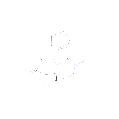 CCN1CC[C@@H]2[C@H](C)C(=O)C(C#N)=C[C@@]2(c2ccccc2)C1=O